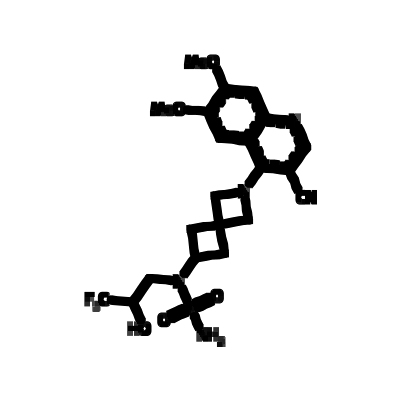 COc1cc2ncc(C#N)c(N3CC4(CC(N(CC(O)C(F)(F)F)S(N)(=O)=O)C4)C3)c2cc1OC